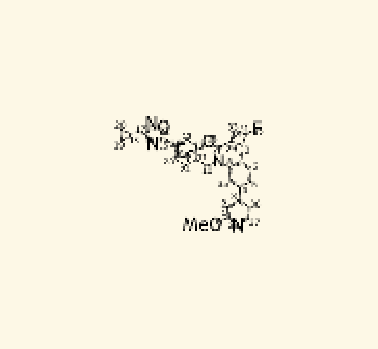 COc1cc(-c2cccc(N(CC34CCC(c5nc(C6CC6)no5)(CC3)CC4)C(=O)C34CC(F)(C3)C4)c2)ccn1